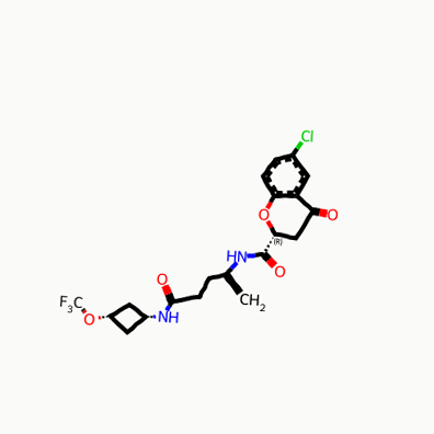 C=C(CCC(=O)N[C@H]1C[C@@H](OC(F)(F)F)C1)NC(=O)[C@H]1CC(=O)c2cc(Cl)ccc2O1